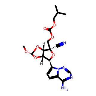 CO[C@H]1O[C@H]2[C@H](c3ccc4c(N)ncnn34)O[C@](C#N)(COC(=O)OCC(C)C)[C@H]2O1